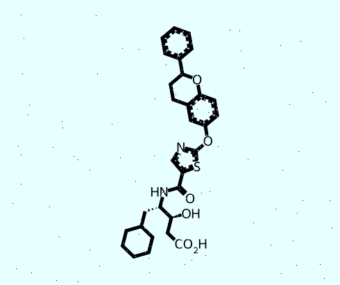 O=C(O)C[C@H](O)[C@H](CC1CCCCC1)NC(=O)c1cnc(Oc2ccc3c(c2)CCC(c2ccccc2)O3)s1